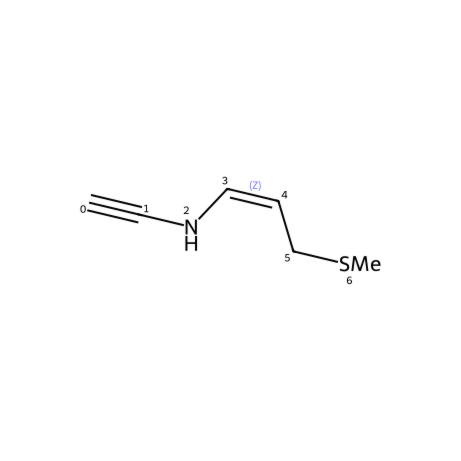 C#CN/C=C\CSC